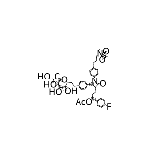 CC(=O)O[C@@H](CCC1C(=O)N(c2ccc(CCCN(C)S(C)(=O)=O)cc2)[C@@H]1c1ccc(CCC2O[C@H](C(=O)O)[C@@H](O)[C@H](O)[C@H]2O)cc1)c1ccc(F)cc1